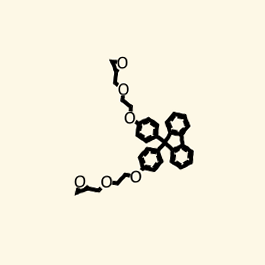 c1ccc2c(c1)-c1ccccc1C2(c1ccc(OCCOCC2CO2)cc1)c1ccc(OCCOCC2CO2)cc1